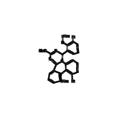 CCCCCCOc1c(CC)cccc1C1N=C(OC)N=C(c2ccccc2)N1c1cccc(CC)c1OCCCCCC